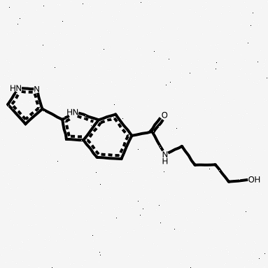 O=C(NCCCCO)c1ccc2cc(-c3cc[nH]n3)[nH]c2c1